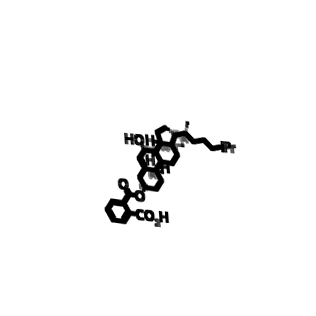 CC(C)CCC[C@@H](C)[C@H]1CC[C@H]2[C@@H]3[C@@H](O)C=C4C[C@@H](OC(=O)c5ccccc5C(=O)O)CC[C@]4(C)[C@H]3CC[C@]12C